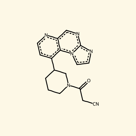 N#CCC(=O)N1CCCC(c2ccnc3cnc4nccn4c23)C1